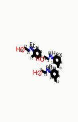 CCCCCCN(CCO)c1cccc(C)c1.CCCCN(CCO)c1cccc(C)c1.CCN(CCO)c1ccccc1C